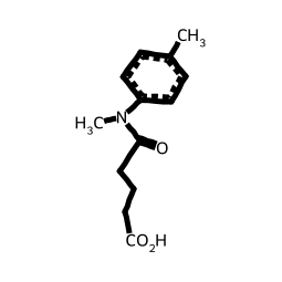 Cc1ccc(N(C)C(=O)CCCC(=O)O)cc1